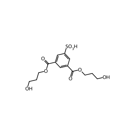 O=C(OCCCO)c1cc(C(=O)OCCCO)cc(S(=O)(=O)O)c1